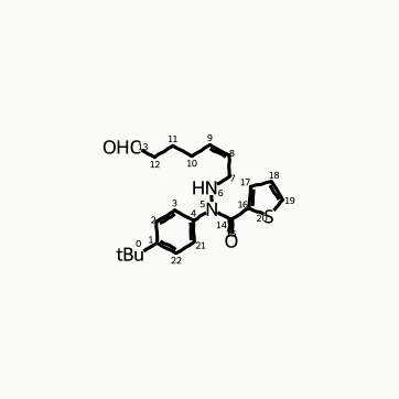 CC(C)(C)c1ccc(N(NC/C=C\CCCC=O)C(=O)c2cccs2)cc1